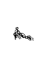 CCS(=O)(=O)c1ccc(CC(=O)Nc2ccc(-c3cccc(C)c3)c(Oc3cccc(F)c3)c2)cc1